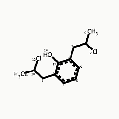 CC(Cl)Cc1cccc(CC(C)Cl)c1O